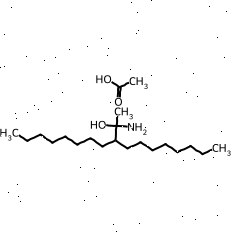 CC(=O)O.CCCCCCCCC(CCCCCCCC)C(C)(N)O